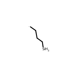 [CH2]CCC[SiH3]